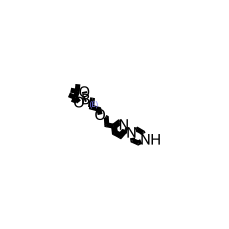 CC1(C)OB(/C=C/COCCc2ccc(N3CCNCC3)nc2)OC1(C)C